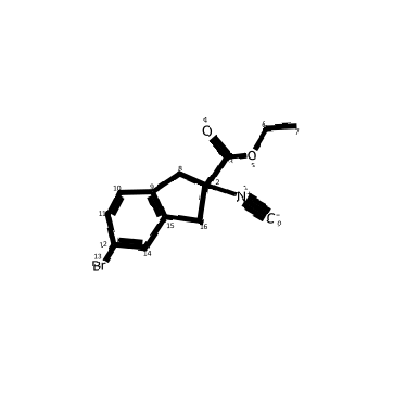 [C-]#[N+]C1(C(=O)OCC)Cc2ccc(Br)cc2C1